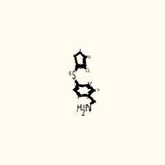 NCc1ccc(SC2CCCC2)cc1